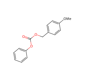 COc1ccc(COC(=O)Oc2ccccc2)cc1